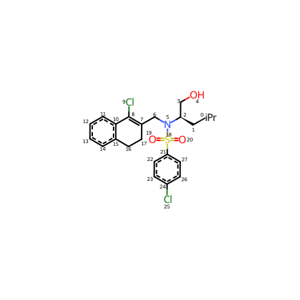 CC(C)C[C@H](CO)N(CC1=C(Cl)c2ccccc2CC1)S(=O)(=O)c1ccc(Cl)cc1